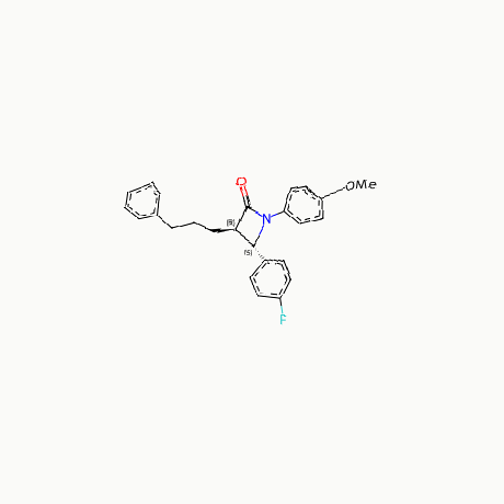 COc1ccc(N2C(=O)[C@H](CCCc3ccccc3)[C@H]2c2ccc(F)cc2)cc1